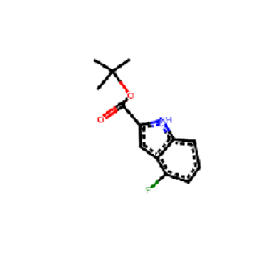 CC(C)(C)OC(=O)c1cc2c(F)cccc2[nH]1